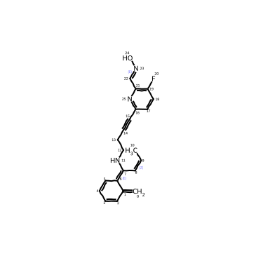 C=c1cccc/c1=C(/C=C\C)NCCC#Cc1ccc(F)c(/C=N/O)n1